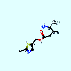 Cc1ncc(COC(=O)CC(C)[C@H](N)C(=O)O)s1